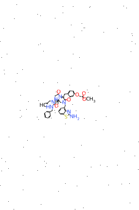 C#CCN(C(=O)NCc1ccccc1)N1CC(=O)N2[C@@H](Cc3ccc(OCC(=O)OC)cc3)C(=O)N(Cc3cccc4sc(N)nc34)C[C@@H]21